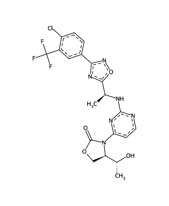 C[C@H](Nc1nccc(N2C(=O)OC[C@@H]2[C@@H](C)O)n1)c1nc(-c2ccc(Cl)c(C(F)(F)F)c2)no1